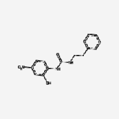 O=C(NCCc1ccccc1)Nc1ccc([N+](=O)[O-])cc1O